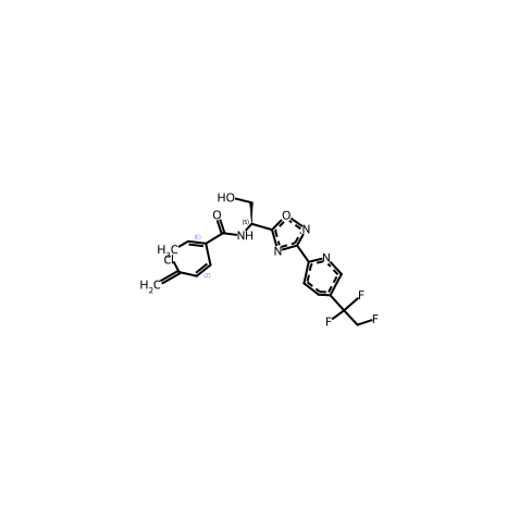 C=C(Cl)/C=C\C(=C/C)C(=O)N[C@@H](CO)c1nc(-c2ccc(C(F)(F)CF)cn2)no1